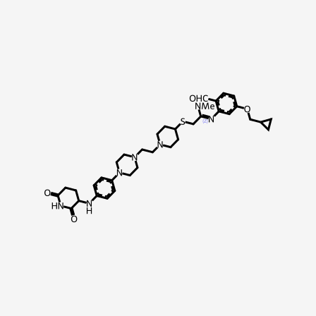 CN/C(CSC1CCN(CCN2CCN(c3ccc(NC4CCC(=O)NC4=O)cc3)CC2)CC1)=N\c1cc(OCC2CC2)ccc1C=O